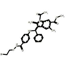 C=c1/c(=C(\Nc2ccc(C(=O)NOCCBr)cc2)c2ccccc2)c2cc(C)c(C(=O)OC)cc2n1C(C)=O